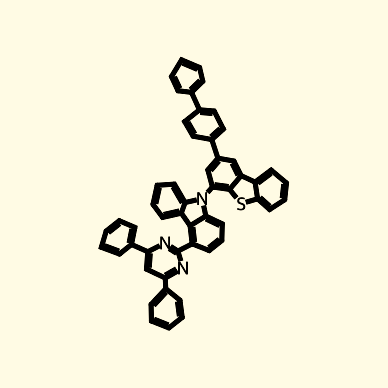 c1ccc(-c2ccc(-c3cc(-n4c5ccccc5c5c(-c6nc(-c7ccccc7)cc(-c7ccccc7)n6)cccc54)c4sc5ccccc5c4c3)cc2)cc1